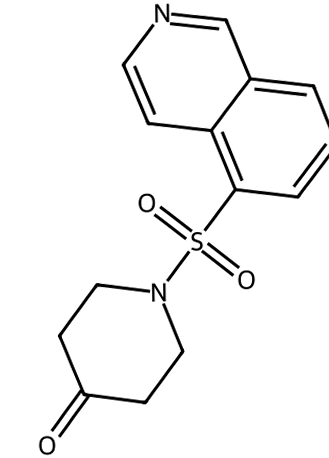 O=C1CCN(S(=O)(=O)c2cccc3cnccc23)CC1